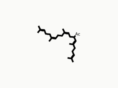 CC(=O)C(/C=C(\C)CCC=C(C)C)CC=C(C)CCC=C(C)CCC=C(C)C